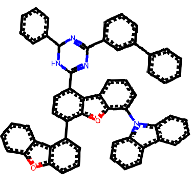 c1ccc(-c2cccc(C3=NC(c4ccccc4)NC(c4ccc(-c5cccc6oc7ccccc7c56)c5oc6c(-n7c8ccccc8c8ccccc87)cccc6c45)=N3)c2)cc1